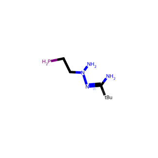 CC(C)(C)/C(N)=N/N(N)CCP